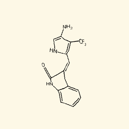 Nc1c[nH]c(C=C2C(=O)Nc3ccccc32)c1C(F)(F)F